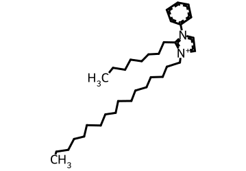 CCCCCCCCCCCCCCCCC[n+]1ccn(-c2ccccc2)c1CCCCCCCC